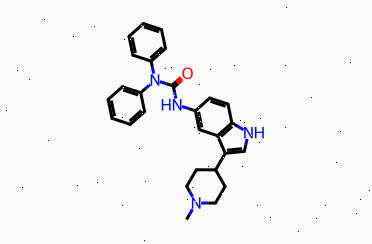 CN1CCC(c2c[nH]c3ccc(NC(=O)N(c4ccccc4)c4ccccc4)cc23)CC1